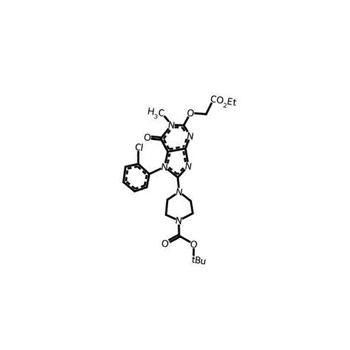 CCOC(=O)COc1nc2nc(N3CCN(C(=O)OC(C)(C)C)CC3)n(-c3ccccc3Cl)c2c(=O)n1C